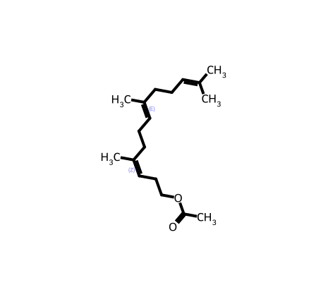 CC(=O)OCC/C=C(/C)CC/C=C(\C)CCC=C(C)C